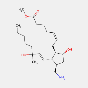 CCCCCC(C)(O)/C=C/[C@H]1[C@H](CN)C[C@H](O)[C@@H]1C/C=C\CCCC(=O)OC